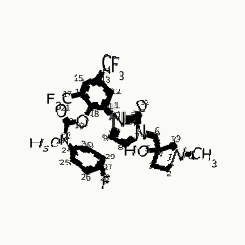 CN1CCC(O)(Cn2ccn(-c3cc(C(F)(F)F)cc(C(F)(F)F)c3OC(=O)N(C)c3ccc(F)cc3)c2=O)C1